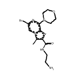 Cc1c(C(=O)NCCN)nc2c(N3CCOCC3)nc(Br)cn12